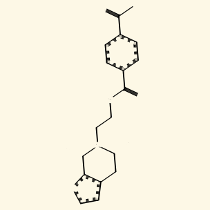 CC(=O)c1ccc(C(=O)NCCN2[C@H](C)Cc3ccsc3[C@@H]2C)cc1